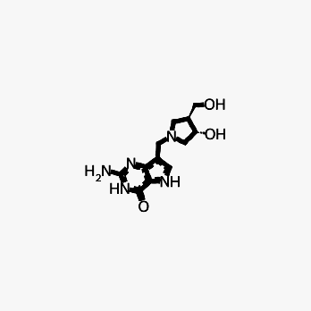 Nc1nc2c(CN3C[C@@H](CO)[C@H](O)C3)c[nH]c2c(=O)[nH]1